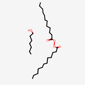 CCCCCCCCCCCC(=O)OOC(=O)CCCCCCCCCCC.CCCCCCCO